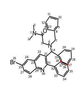 CN(C)C(=O)CN(Cc1ccccc1)C(c1ccccc1)c1cc2cc(Br)ccc2nc1-c1ccccc1